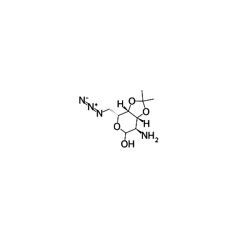 CC1(C)O[C@@H]2[C@H](O1)[C@@H](N)C(O)O[C@@H]2CN=[N+]=[N-]